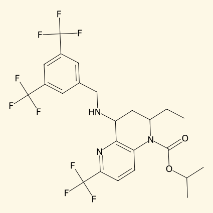 CCC1CC(NCc2cc(C(F)(F)F)cc(C(F)(F)F)c2)c2nc(C(F)(F)F)ccc2N1C(=O)OC(C)C